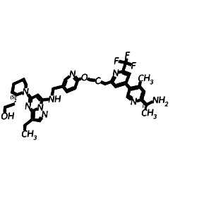 CCc1cnn2c(NCc3ccc(OCCCc4cc(-c5cnc([C@H](C)N)cc5C)cc(C(F)(F)F)n4)nc3)cc(N3CCCC[C@H]3CCO)nc12